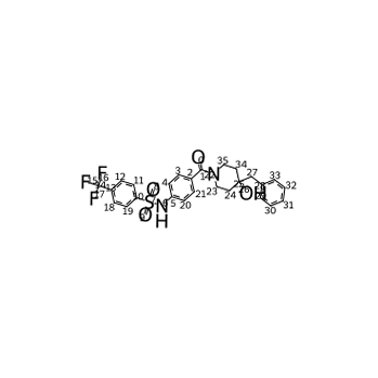 O=C(c1ccc(NS(=O)(=O)c2ccc(C(F)(F)F)cc2)cc1)N1CCC(O)(Cc2ccccc2)CC1